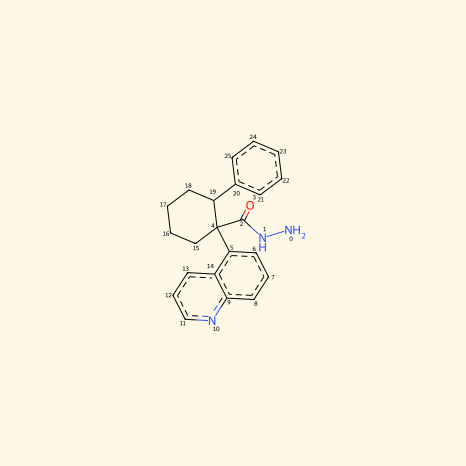 NNC(=O)C1(c2cccc3ncccc23)CCCCC1c1ccccc1